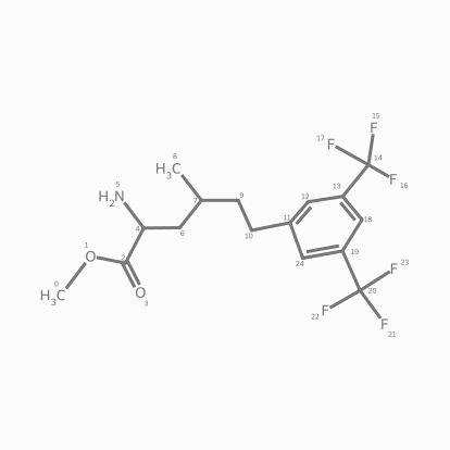 COC(=O)C(N)CC(C)CCc1cc(C(F)(F)F)cc(C(F)(F)F)c1